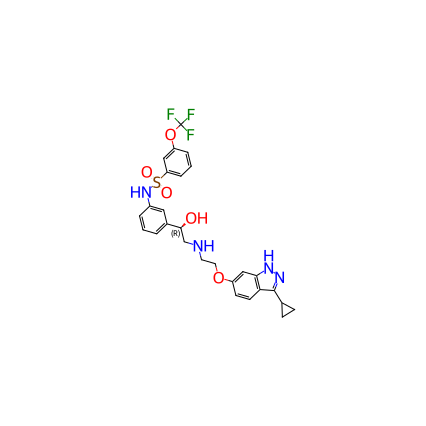 O=S(=O)(Nc1cccc([C@@H](O)CNCCOc2ccc3c(C4CC4)n[nH]c3c2)c1)c1cccc(OC(F)(F)F)c1